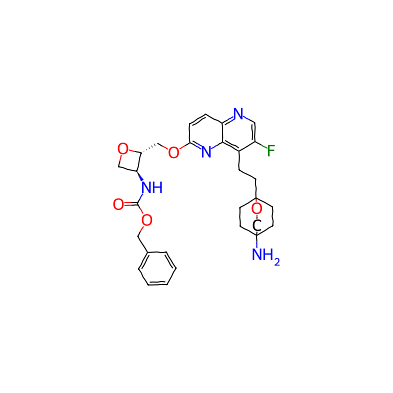 NC12CCC(CCc3c(F)cnc4ccc(OC[C@H]5OC[C@@H]5NC(=O)OCc5ccccc5)nc34)(CC1)OC2